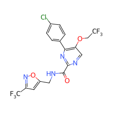 O=C(NCc1cc(C(F)(F)F)no1)c1ncc(OCC(F)(F)F)c(-c2ccc(Cl)cc2)n1